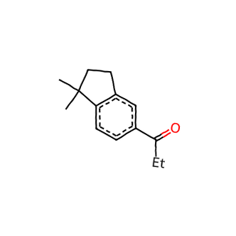 CCC(=O)c1ccc2c(c1)CCC2(C)C